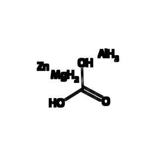 O=C(O)O.[AlH3].[MgH2].[Zn]